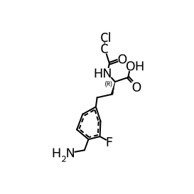 NCc1ccc(CC[C@@H](NC(=O)CCl)C(=O)O)cc1F